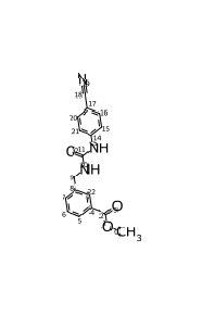 COC(=O)c1cccc(CNC(=O)Nc2ccc(C#N)cc2)c1